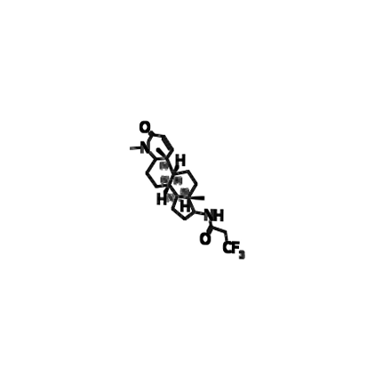 CN1C(=O)C=C[C@@]2(C)C1CC[C@@H]1[C@H]2CC[C@]2(C)C(NC(=O)CC(F)(F)F)CC[C@@H]12